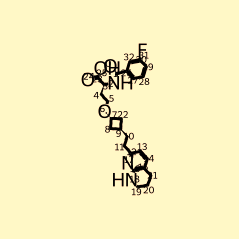 O=C(N[C@@H](CCO[C@H]1C[C@H](CCc2ccc3c(n2)NCCC3)C1)C(=O)O)c1cccc(F)c1